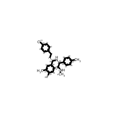 CNC(=O)[C@H](N[C@@H](CCc1ccc(Cl)cc1)c1ccc(F)c(C)c1)c1ccc(C)cc1